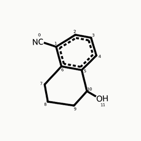 N#Cc1cccc2c1CCCC2O